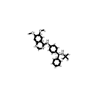 COc1cc2ncnc(Nc3ccc([C@@H](NC(C)(C)C)c4ccccc4)cc3)c2cc1OC